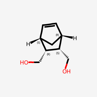 OC[C@@H]1[C@H](CO)[C@@H]2C=C[C@H]1C2